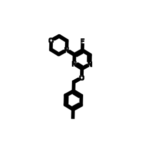 Cc1ccc(COc2ncc(F)c(N3CCOCC3)n2)cc1